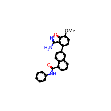 COc1ccc(-c2ccc3c(C(=O)Nc4ccccc4)cccc3c2)c2c(N)noc12